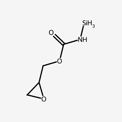 O=C(N[SiH3])OCC1CO1